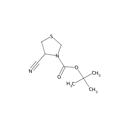 CC(C)(C)OC(=O)N1CSCC1C#N